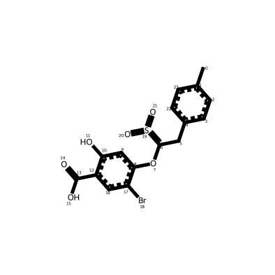 Cc1ccc(CC(Oc2cc(O)c(C(=O)O)cc2Br)=S(=O)=O)cc1